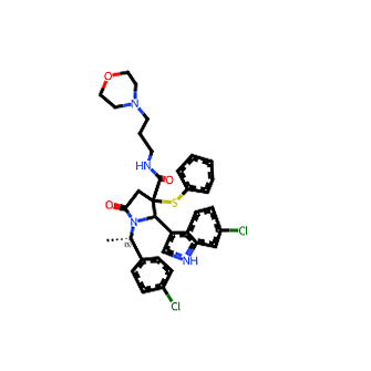 C[C@@H](c1ccc(Cl)cc1)N1C(=O)CC(Sc2ccccc2)(C(=O)NCCCN2CCOCC2)C1c1c[nH]c2cc(Cl)ccc12